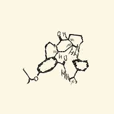 CC(C)Oc1cc2c(c(C(=O)N[C@H](C)c3ccccc3)c1)[C@@H]1C[C@H]3NCCC[C@H]3C(=O)N1CC2